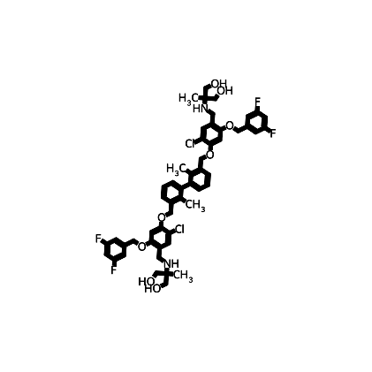 Cc1c(COc2cc(OCc3cc(F)cc(F)c3)c(CNC(C)(CO)CO)cc2Cl)cccc1-c1cccc(COc2cc(OCc3cc(F)cc(F)c3)c(CNC(C)(CO)CO)cc2Cl)c1C